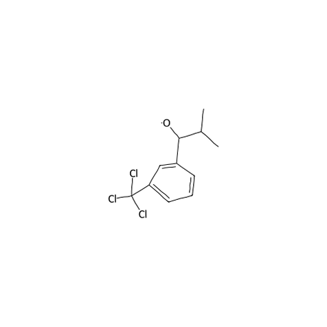 CC(C)C([O])c1cccc(C(Cl)(Cl)Cl)c1